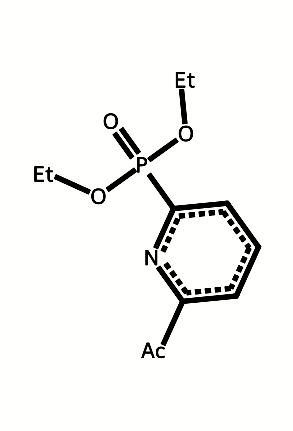 CCOP(=O)(OCC)c1cccc(C(C)=O)n1